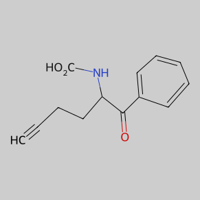 C#CCCC(NC(=O)O)C(=O)c1ccccc1